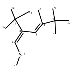 CS/C=C(\C=C(/C)C(C)(C)C)C(C)(C)C